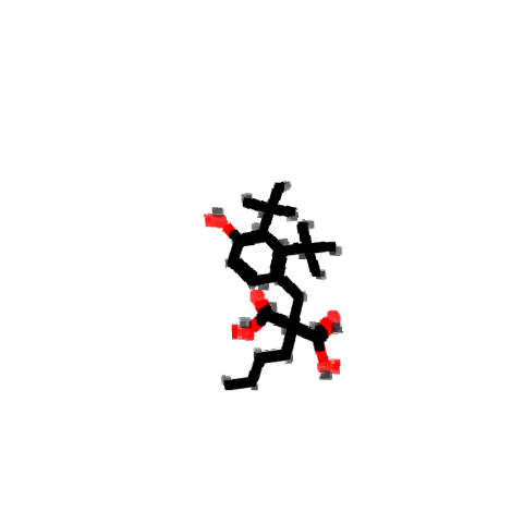 CCCCC(Cc1ccc(O)c(C(C)(C)C)c1C(C)(C)C)(C(=O)O)C(=O)O